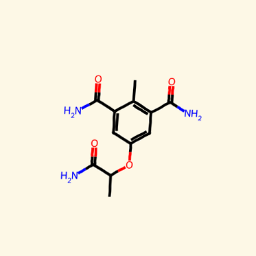 Cc1c(C(N)=O)cc(OC(C)C(N)=O)cc1C(N)=O